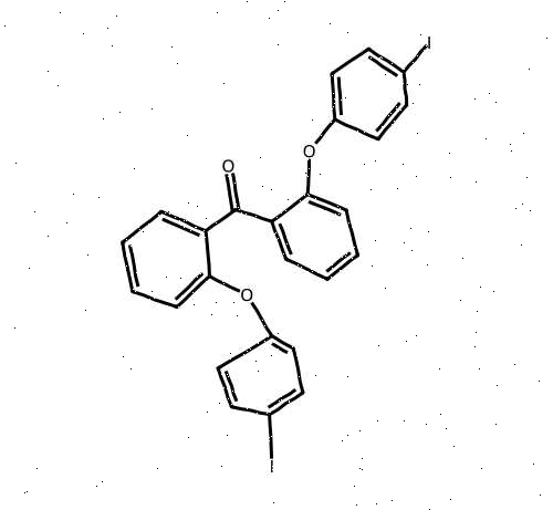 O=C(c1ccccc1Oc1ccc(I)cc1)c1ccccc1Oc1ccc(I)cc1